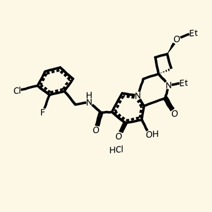 CCO[C@H]1C[C@]2(Cn3cc(C(=O)NCc4cccc(Cl)c4F)c(=O)c(O)c3C(=O)N2CC)C1.Cl